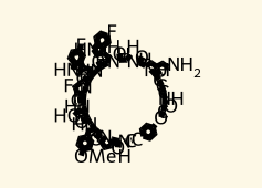 COc1ccc(C[C@@H]2NC(=O)[C@H]([C@@H](C)O)NC(=O)[C@@H]3C[C@H](F)CN3C(=O)[C@H](Cc3c[nH]c4ccc(F)cc34)NC(=O)[C@H](Cc3c[nH]c4ccc(F)cc34)NC(=O)[C@@H](C)NC(=O)[C@H](CCCCN)NC(=O)CCCNC(=O)COc3ccc(cc3)CCNC(=O)[C@]3(C)CCCN3C2=O)cc1